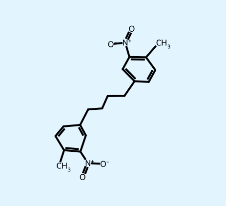 Cc1ccc(CCCCc2ccc(C)c([N+](=O)[O-])c2)cc1[N+](=O)[O-]